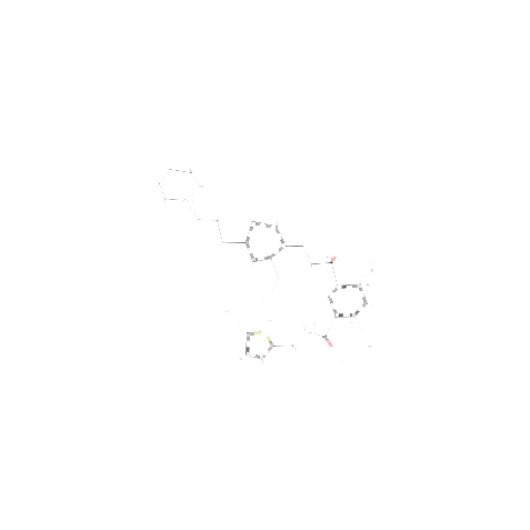 CCc1cc(CCCN2CCCCC2)ccc1CCC(=O)c1cc(C(=O)N(C)Cc2ccc(C)s2)c(O)cc1O